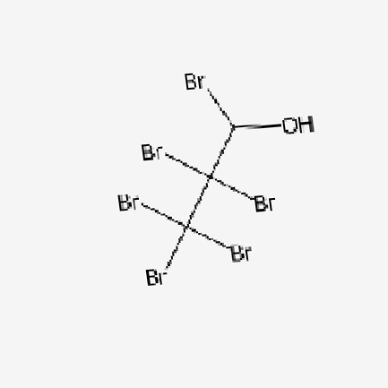 OC(Br)C(Br)(Br)C(Br)(Br)Br